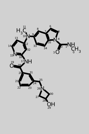 CNC(=O)n1ccc2cc(N(C)c3ccnc(NC(=O)c4cccc(CN5CC(O)C5)c4)c3)ccc21